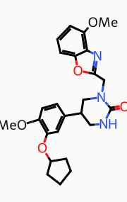 COc1ccc(C2CNC(=O)N(Cc3nc4c(OC)cccc4o3)C2)cc1OC1CCCC1